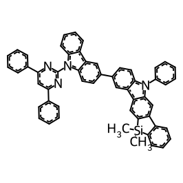 C[Si]1(C)c2ccccc2-c2cc3c(cc21)c1cc(-c2ccc4c(c2)c2ccccc2n4-c2nc(-c4ccccc4)cc(-c4ccccc4)n2)ccc1n3-c1ccccc1